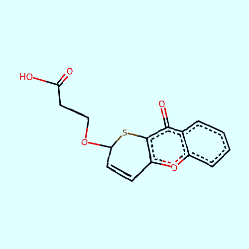 O=C(O)CCOC1C=Cc2oc3ccccc3c(=O)c2S1